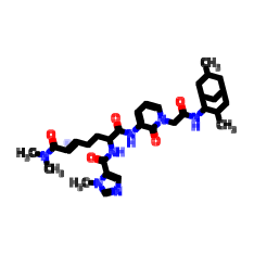 CC1CC2CC(C)C(NC(=O)Cn3cccc(NC(=O)C(CC/C=C/C(=O)N(C)C)NC(=O)c4cncn4C)c3=O)C(C1)C2